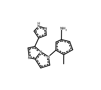 Cc1ccc(N)cc1-n1ccc2ncc(-c3cn[nH]c3)n21